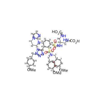 COc1ccc(CN(Cc2ccc(OC)cc2)S(=O)(=O)c2c(S(=O)(=O)NC(CNC(=O)O)CNC(=O)O)ccc(N3CCCn4ccnc43)c2-c2nnn(Cc3ccc(OC)cc3)n2)cc1